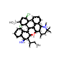 Cc1c(Cl)cc(C(=O)O)c(Cl)c1-c1c2c3ccccc3c(=N)c(C(C)CC(C)(C)C)c-2oc2c3c(c4ccccc4c12)N(C)C(C)(C)CC3C